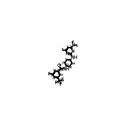 Cc1cc(N(C)C)nc(N[C@H]2CC[C@@H](NC(=O)c3cc(F)cc(C(F)(F)F)c3)CC2)n1